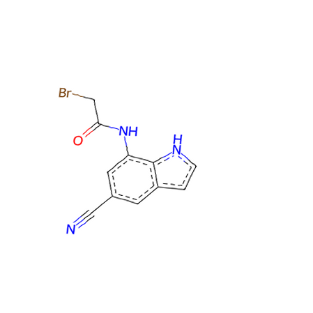 N#Cc1cc(NC(=O)CBr)c2[nH]ccc2c1